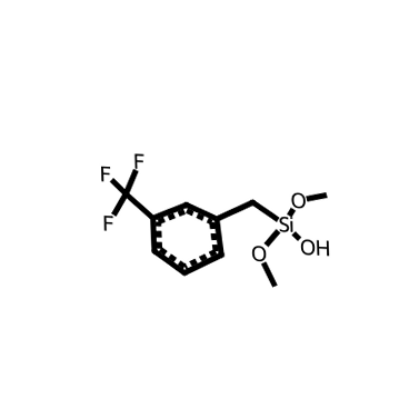 CO[Si](O)(Cc1cccc(C(F)(F)F)c1)OC